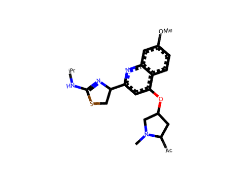 COc1ccc2c(OC3CC(C(C)=O)N(C)C3)cc(C3CSC(NC(C)C)=N3)nc2c1